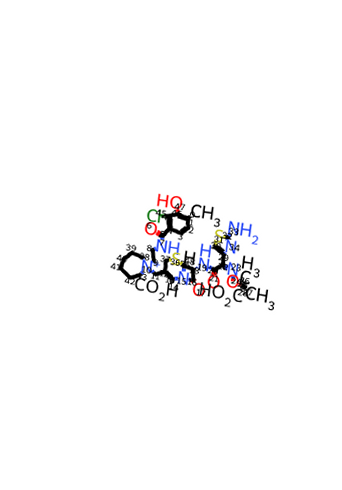 Cc1ccc(C(=O)NCC[N+]2(CC3=C(C(=O)O)N4C(=O)[C@@H](NC(=O)/C(=N\OC(C)(C)C(=O)O)c5csc(N)n5)[C@H]4SC3)CCCCCC2)c(Cl)c1O